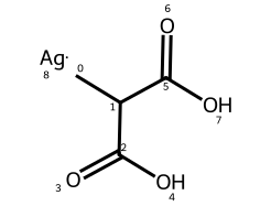 CC(C(=O)O)C(=O)O.[Ag]